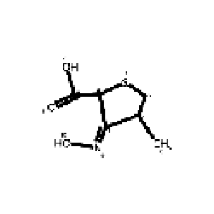 CC1CSC(C(=O)O)C1=NO